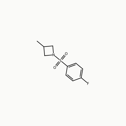 CC1CN(S(=O)(=O)c2ccc(F)cc2)C1